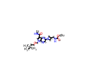 CCNC(=O)c1cn(COCC[Si](C)(C)C)c2ncc(N3CC(CNC(=O)OC(C)(C)C)C3)nc12